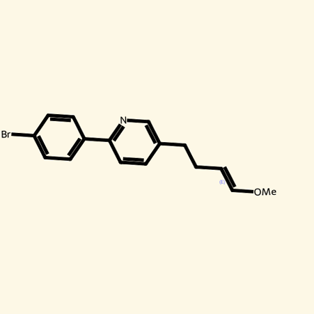 CO/C=C/CCc1ccc(-c2ccc(Br)cc2)nc1